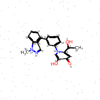 CC(O)c1cc(=O)c(O)cn1-c1cccc(-c2cccc3c2cnn3C)c1